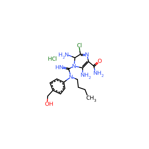 CCCCN(C(=N)N1C(N)=C(C(N)=O)N=C(Cl)C1N)c1ccc(CO)cc1.Cl